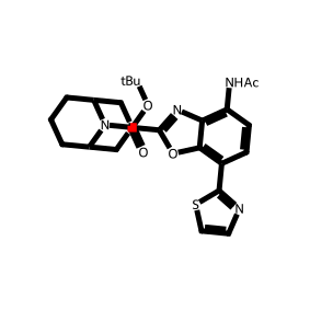 CC(=O)Nc1ccc(-c2nccs2)c2oc(N3CC4CCCC(C3)N4C(=O)OC(C)(C)C)nc12